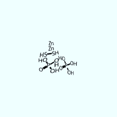 O=P(O)(O)O.O=P(O)(O)O.SS.[Zn].[Zn]